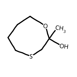 CC1(O)CSCCCCO1